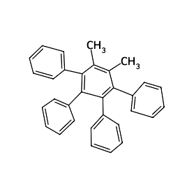 Cc1c(C)c(-c2ccccc2)c(-c2ccccc2)c(-c2ccccc2)c1-c1ccccc1